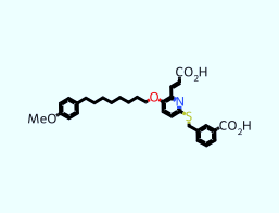 COc1ccc(CCCCCCCCOc2ccc(SCc3cccc(C(=O)O)c3)nc2C=CC(=O)O)cc1